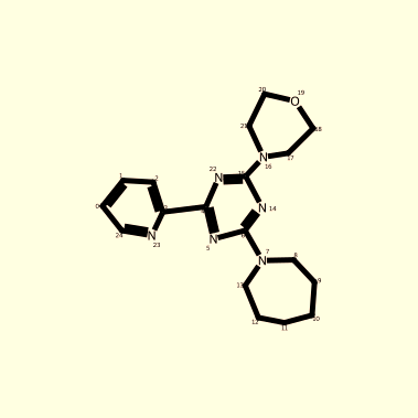 c1ccc(-c2nc(N3CCCCCC3)nc(N3CCOCC3)n2)nc1